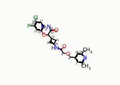 Cc1cc(COCC(=O)NC23CC(C(Oc4ccc(Cl)c(F)c4)C(N)=O)(C2)C3)cc(C)n1